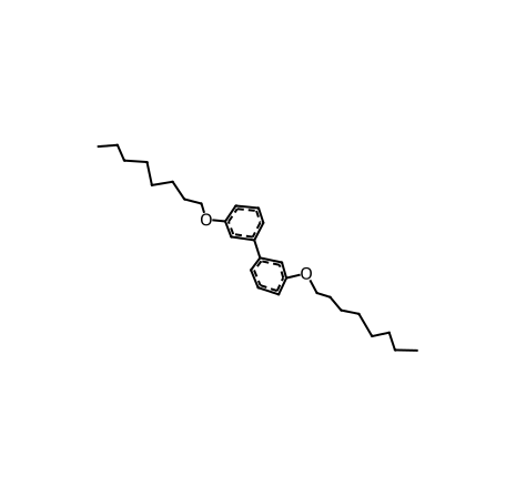 CCCCCCCCOc1cccc(-c2cccc(OCCCCCCCC)c2)c1